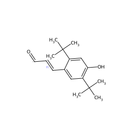 CC(C)(C)c1cc(/C=C/[C]=O)c(C(C)(C)C)cc1O